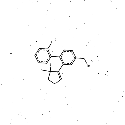 CC1(C)CCC=C1c1cc(CBr)ccc1-c1ccccc1F